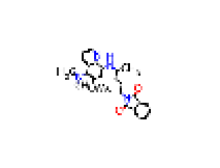 COc1cc(NC(C)CCCN2C(=O)c3ccccc3C2=O)c2ncccc2c1N(C)C